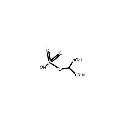 CCCCCCCCCC(CCCCCCCC)OS(=O)(=O)N=O